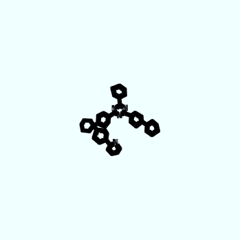 c1ccc(-c2ccc(-c3nc(-c4ccccc4)nc(-c4ccc(C5(c6ccc(-c7ccccn7)cc6)CCCCC5)cc4)n3)cc2)cc1